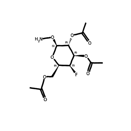 CC(=O)OC[C@H]1O[C@@H](ON)[C@H](OC(C)=O)[C@@H](OC(C)=O)[C@H]1F